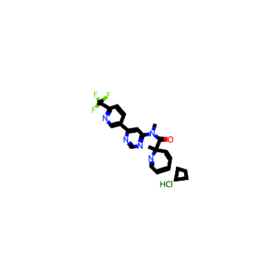 C1CCC1.CN(C(=O)C1(C)C=CC=CC=N1)c1cc(-c2ccc(C(F)(F)F)nc2)ncn1.Cl